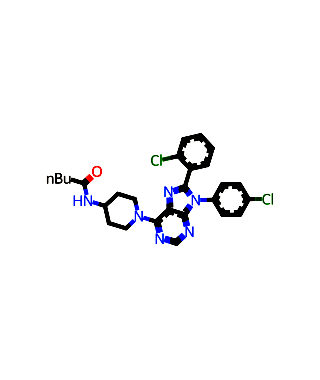 CCCCC(=O)NC1CCN(c2ncnc3c2nc(-c2ccccc2Cl)n3-c2ccc(Cl)cc2)CC1